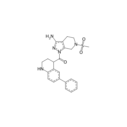 CS(=O)(=O)N1CCc2c(N)nn(C(=O)C3CCNc4ccc(-c5ccccc5)cc43)c2C1